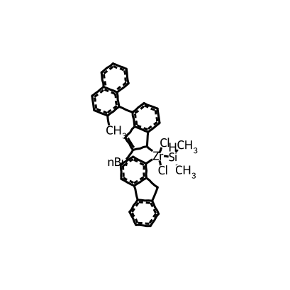 CCCCC1=Cc2c(-c3c(C)ccc4ccccc34)cccc2[CH]1[Zr]([Cl])([Cl])([c]1cccc2c1Cc1ccccc1-2)[SiH](C)C